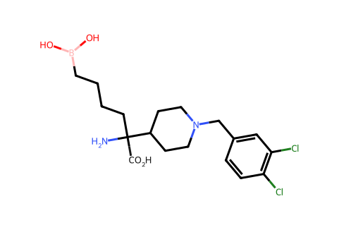 NC(CCCCB(O)O)(C(=O)O)C1CCN(Cc2ccc(Cl)c(Cl)c2)CC1